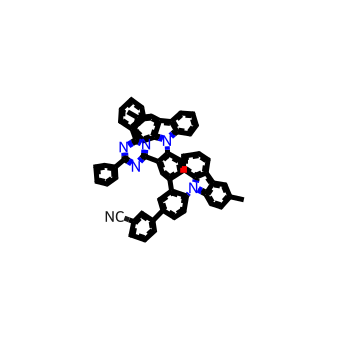 Cc1ccc2c(c1)c1ccccc1n2-c1ccc(-c2cccc(C#N)c2)cc1-c1ccc(-n2c3ccccc3c3cc(C)ccc32)c(-c2nc(-c3ccccc3)nc(-c3ccccc3)n2)c1